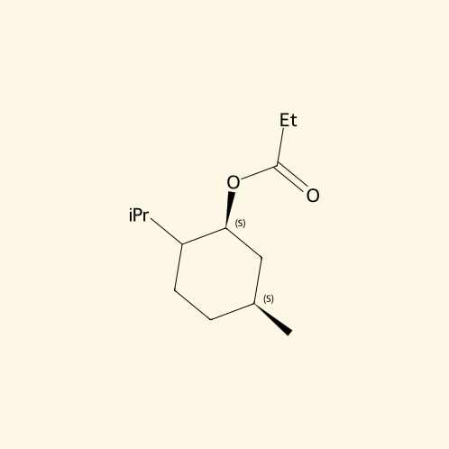 CCC(=O)O[C@H]1C[C@@H](C)CCC1C(C)C